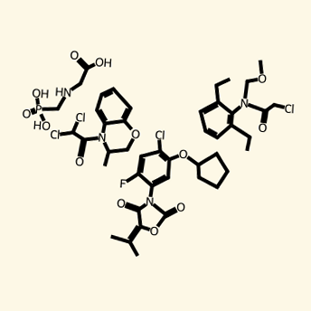 CC(C)=C1OC(=O)N(c2cc(OC3CCCC3)c(Cl)cc2F)C1=O.CC1COc2ccccc2N1C(=O)C(Cl)Cl.CCc1cccc(CC)c1N(COC)C(=O)CCl.O=C(O)CNCP(=O)(O)O